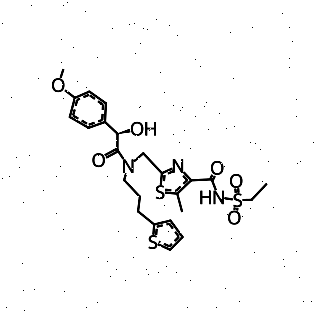 CCS(=O)(=O)NC(=O)c1nc(CN(CCCc2cccs2)C(=O)[C@H](O)c2ccc(OC)cc2)sc1C